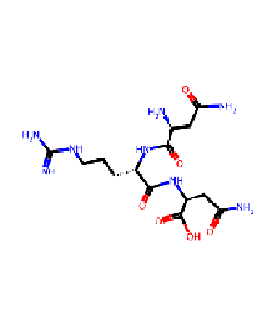 N=C(N)NCCC[C@H](NC(=O)[C@@H](N)CC(N)=O)C(=O)N[C@@H](CC(N)=O)C(=O)O